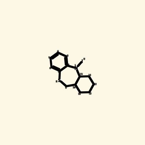 IN1c2ccccc2SCC2CCCCC21